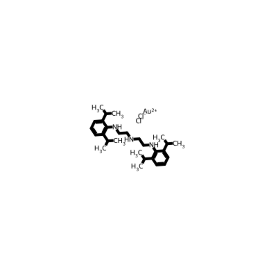 CC(C)c1cccc(C(C)C)c1NCCNCCNc1c(C(C)C)cccc1C(C)C.[Au+2].[Cl-].[Cl-]